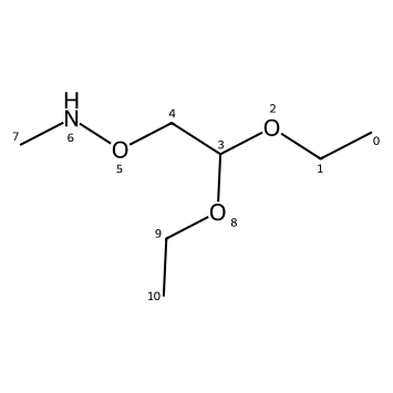 CCOC(CONC)OCC